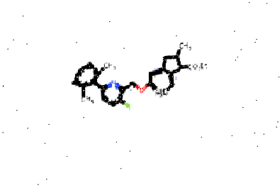 C=C(/C=C1/CC(C)C(C(=O)OCC)/C1=C/C)OCc1nc(-c2c(C)cccc2C)ccc1F